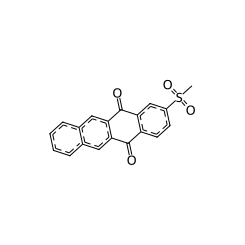 CS(=O)(=O)c1ccc2c(c1)C(=O)c1cc3ccccc3cc1C2=O